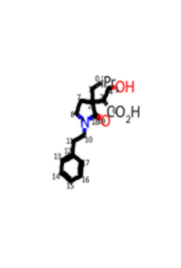 CC(C)CC1(C(CO)C(=O)O)CCN(CCc2ccccc2)C1=O